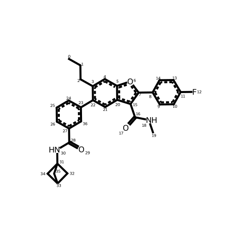 CCCc1cc2oc(-c3ccc(F)cc3)c(C(=O)NC)c2cc1-c1cccc(C(=O)NC23CC(C2)C3)c1